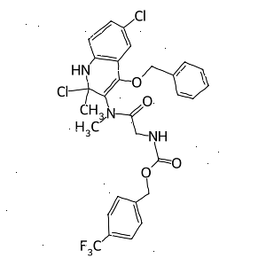 CN(C(=O)CNC(=O)OCc1ccc(C(F)(F)F)cc1)C1=C(OCc2ccccc2)c2cc(Cl)ccc2NC1(C)Cl